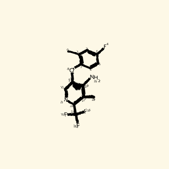 Cc1cc(F)ccc1Oc1cnc(C(F)(F)F)c(C)c1N